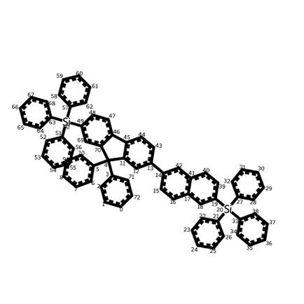 c1ccc(C2(c3ccccc3)c3cc(-c4ccc5cc([Si](c6ccccc6)(c6ccccc6)c6ccccc6)ccc5c4)ccc3-c3ccc([Si](c4ccccc4)(c4ccccc4)c4ccccc4)cc32)cc1